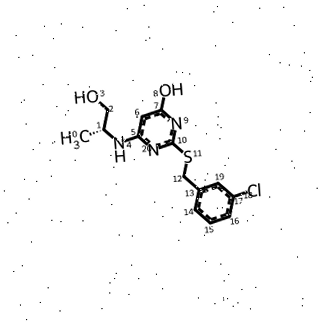 C[C@H](CO)Nc1[c]c(O)nc(SCc2cccc(Cl)c2)n1